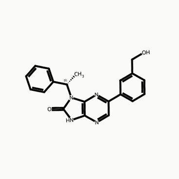 C[C@@H](c1ccccc1)n1c(=O)[nH]c2ncc(-c3cccc(CO)c3)nc21